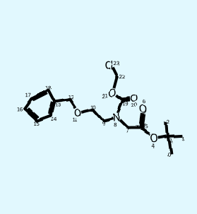 CC(C)(C)OC(=O)CN(CCOCc1ccccc1)C(=O)OCCl